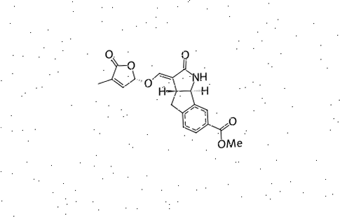 COC(=O)c1ccc2c(c1)[C@@H]1NC(=O)/C(=C/O[C@@H]3C=C(C)C(=O)O3)[C@H]1C2